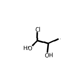 [CH2]C(O)C(O)Cl